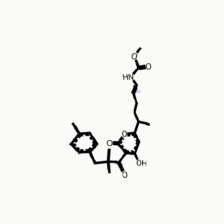 COC(=O)N/C=C/CCC(C)c1cc(O)c(C(=O)C(C)(C)Cc2ccc(C)cc2)c(=O)o1